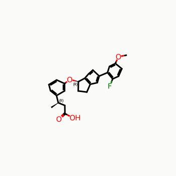 COc1ccc(F)c(-c2ccc3c(c2)CC[C@H]3Oc2cccc([C@H](C)CC(=O)O)c2)c1